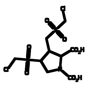 O=C(O)C1C(CS(=O)(=O)CCl)C(S(=O)(=O)CCl)CN1C(=O)O